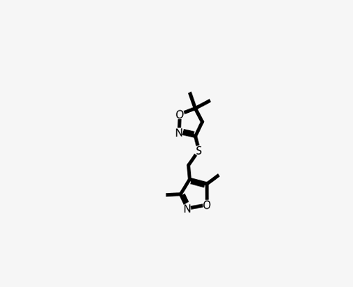 Cc1noc(C)c1CSC1=NOC(C)(C)C1